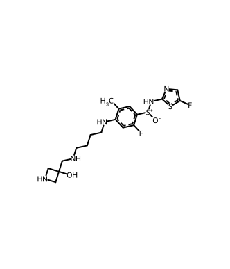 Cc1cc([S+]([O-])Nc2ncc(F)s2)c(F)cc1NCCCCNCC1(O)CNC1